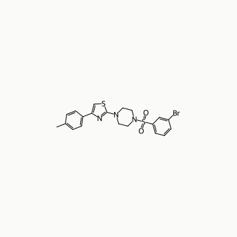 Cc1ccc(-c2csc(N3CCN(S(=O)(=O)c4cccc(Br)c4)CC3)n2)cc1